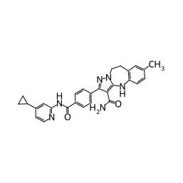 Cc1ccc2c(c1)CCn1nc(-c3ccc(C(=O)Nc4cc(C5CC5)ccn4)cc3)c(C(N)=O)c1N2